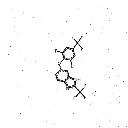 Fc1cc(C(F)(F)F)cc(Cl)c1Oc1ccc2nc(C(F)(F)F)[nH]c2c1